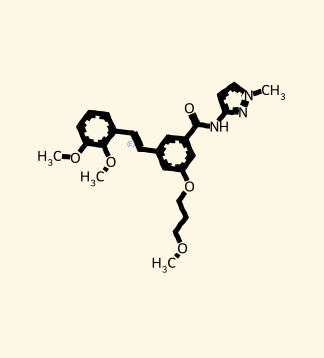 COCCCOc1cc(/C=C/c2cccc(OC)c2OC)cc(C(=O)Nc2ccn(C)n2)c1